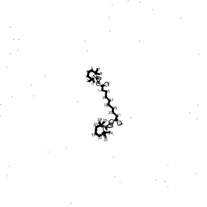 CC1(C)CCCC(C)(C)N1OOC(=O)CCCCCCCCC(=O)OON1C(C)(C)CCCC1(C)C